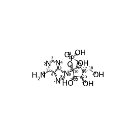 Nc1ncnc2c1ncn2[C@]1(OP(=O)(O)O)O[C@H](CO)[C@@H](O)[C@H]1O